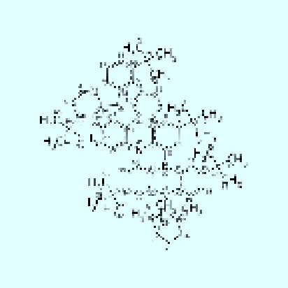 CC(C)(C)c1ccc2c(c1)B1c3cc(C(C)(C)C)ccc3N(C3CC4CCC3(C)C4(C)C)c3cc(C(C)(C)C)cc(c31)N2c1cccc2c1-c1ccccc1C21c2cc(C(C)(C)C)ccc2-c2ccc(C(C)(C)C)cc21